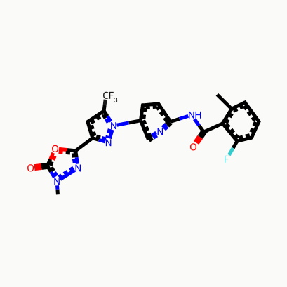 Cc1cccc(F)c1C(=O)Nc1ccc(-n2nc(-c3nn(C)c(=O)o3)cc2C(F)(F)F)cn1